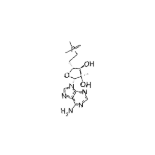 C=P(C)(C)CC[C@H]1O[C@@H](n2cnc3c(N)ncnc32)[C@](C)(O)[C@@H]1O